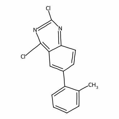 Cc1ccccc1-c1ccc2nc(Cl)nc(Cl)c2c1